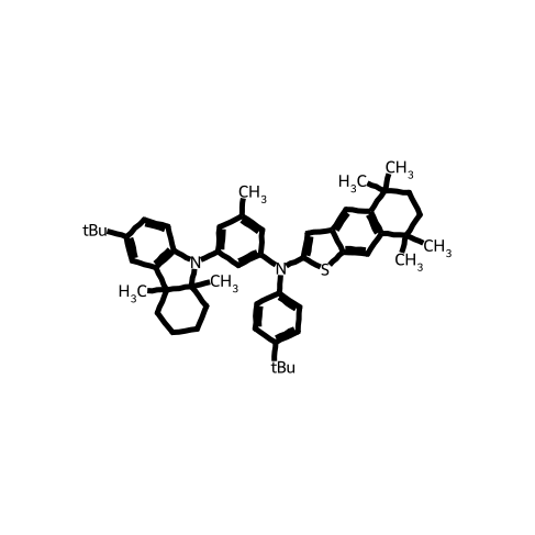 Cc1cc(N(c2ccc(C(C)(C)C)cc2)c2cc3cc4c(cc3s2)C(C)(C)CCC4(C)C)cc(N2c3ccc(C(C)(C)C)cc3C3(C)CCCCC23C)c1